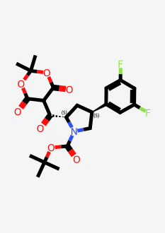 CC(C)(C)OC(=O)N1C[C@H](c2cc(F)cc(F)c2)C[C@H]1C(=O)C1C(=O)OC(C)(C)OC1=O